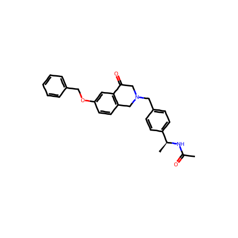 CC(=O)N[C@@H](C)c1ccc(CN2CC(=O)c3cc(OCc4ccccc4)ccc3C2)cc1